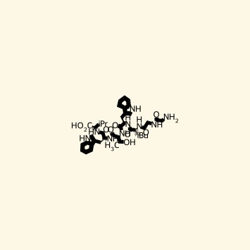 CC[C@@H](C)[C@@H](NC(=O)CNC(=O)CN)C(=O)N[C@H](Cc1c[nH]c2ccccc12)C(=O)N[C@@H](C(=O)N[C@H](Cc1c[nH]c2ccccc12)C(=O)N[C@@H](C(=O)O)C(C)C)[C@H](C)O